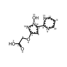 O=C(O)COc1cc(-c2ncccn2)n(O)n1